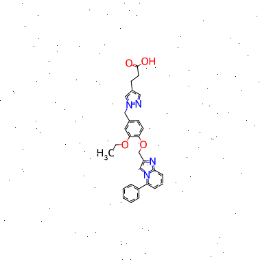 CCOc1cc(Cn2cc(CCC(=O)O)cn2)ccc1OCc1cn2c(-c3ccccc3)cccc2n1